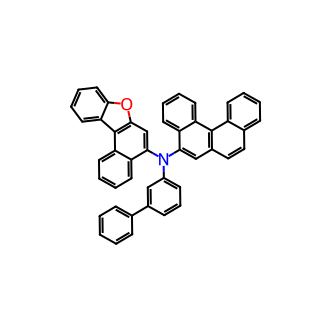 c1ccc(-c2cccc(N(c3cc4ccc5ccccc5c4c4ccccc34)c3cc4oc5ccccc5c4c4ccccc34)c2)cc1